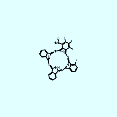 [O][AlH][c]1c(F)c(F)c(F)c2c3nc4nc(nc5[nH]c(nc6nc(nc([nH]3)c12)-c1ccccc1-6)c1ccccc51)-c1cccc(F)c1-4